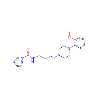 COc1ccccc1N1CCN(CCCCNC(=O)n2ccnc2)CC1